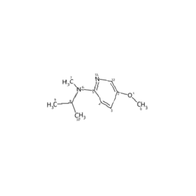 COc1ccc(N(C)C(C)C)nc1